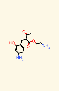 CC(=O)C(CC1=CCC(N)C=C1O)C(=O)OCCN